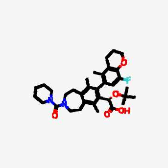 Cc1c(-c2c(C)c3c(c(C)c2[C@H](OC(C)(C)C)C(=O)O)CCN(C(=O)N2CCCCC2)CC3)cc(F)c2c1CCCO2